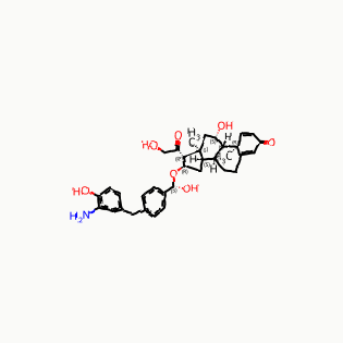 C[C@]12C[C@H](O)[C@H]3[C@@H](CCC4=CC(=O)C=C[C@@]43C)[C@@H]1C[C@@H](O[C@H](O)c1ccc(Cc3ccc(O)c(N)c3)cc1)[C@@H]2C(=O)CO